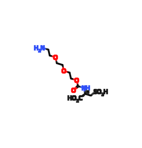 NCCOCCOCCOC(=O)N[C@@H](CS(=O)(=O)O)C(=O)O